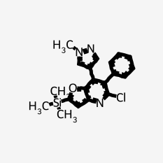 Cn1cc(-c2c(-c3ccccc3)c(Cl)nc3cc([Si](C)(C)C)oc23)cn1